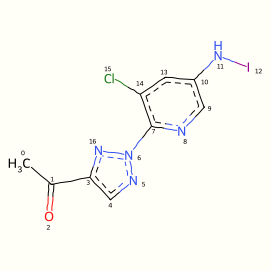 CC(=O)c1cnn(-c2ncc(NI)cc2Cl)n1